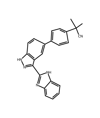 CC(C)(C#N)c1ccc(-c2ccc3[nH]nc(-c4nc5ccccc5[nH]4)c3c2)cc1